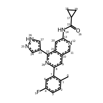 Cc1ccc(F)cc1-c1cc2cnc(NC(=O)C3CC3)cc2c(-c2cn[nH]c2)n1